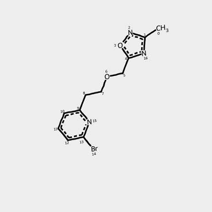 Cc1noc(COCCc2cccc(Br)n2)n1